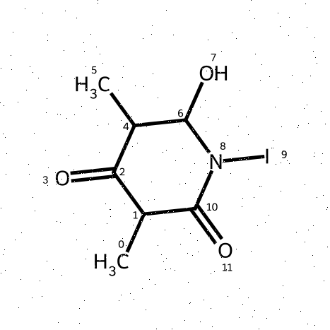 CC1C(=O)C(C)C(O)N(I)C1=O